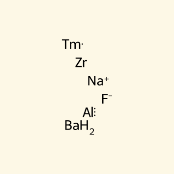 [Al].[BaH2].[F-].[Na+].[Tm].[Zr]